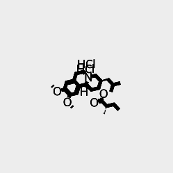 CC[C@H](C)C(=O)O[C@@H]1C[C@@H]2c3cc(OC)c(OC)cc3CCN2C[C@H]1CC(C)C.Cl.Cl